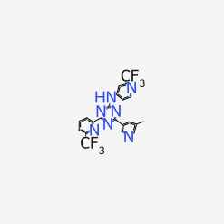 Cc1cncc(-c2nc(Nc3ccnc(C(F)(F)F)c3)nc(-c3cccc(C(F)(F)F)n3)n2)c1